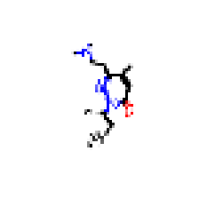 Cc1cc(=O)n([C@@H](C)CC(C)C)nc1CCN(C)C